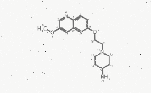 COc1cnc2ccc(OCCN3CCC(N)CC3)cc2c1